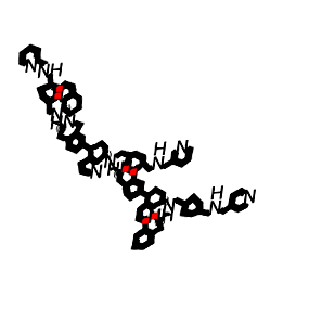 c1ccc(CNCc2ccc(CN(C[C@H]3Cc4ccc(C5CC[C@H](N(Cc6ccc(CNCc7cccnc7)cc6)C[C@H]6Cc7ccc(C8CC[C@H](N(Cc9ccc(CNCc%10ccncc%10)cc9)C[C@H]9Cc%10ccccc%10CN9)c9ncccc98)cc7CN6)c6ncccc65)cc4CN3)[C@H]3CCCc4cccnc43)cc2)nc1